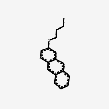 CCCCOc1c[c]c2cc3ccccc3cc2c1